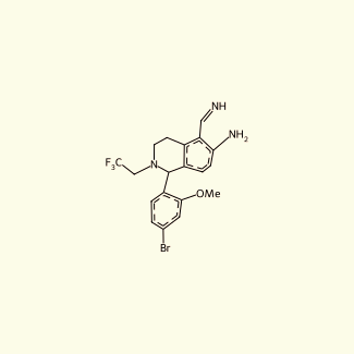 COc1cc(Br)ccc1C1c2ccc(N)c(C=N)c2CCN1CC(F)(F)F